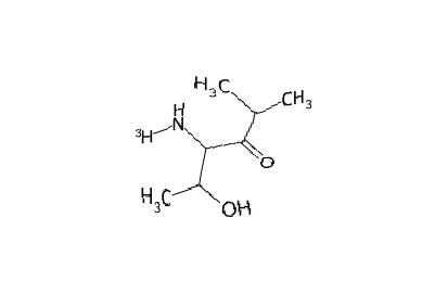 [3H]NC(C(=O)C(C)C)C(C)O